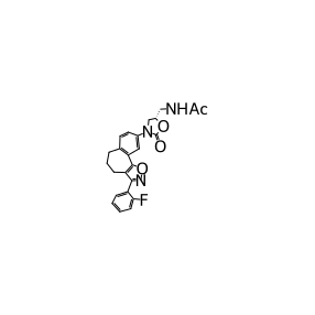 CC(=O)NC[C@H]1CN(c2ccc3c(c2)-c2onc(-c4ccccc4F)c2CCC3)C(=O)O1